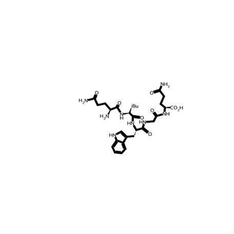 CC[C@H](C)[C@H](NC(=O)[C@@H](N)CCC(N)=O)C(=O)N[C@@H](Cc1c[nH]c2ccccc12)C(=O)NCC(=O)N[C@@H](CCC(N)=O)C(=O)O